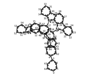 c1ccc(-c2ccc(-c3nc(-c4ccccc4)nc(-n4c5ccccc5c5ccc6c7ccccc7n(-c7cc(-c8ccccc8)cc(-c8nc9ccccc9o8)c7)c6c54)n3)cc2)cc1